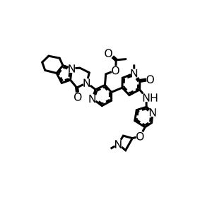 CC(=O)OCc1c(-c2cc(Nc3ccc(OC4CN(C)C4)cn3)c(=O)n(C)c2)ccnc1N1CCn2c(cc3c2CCCC3)C1=O